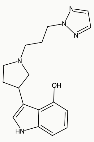 Oc1cccc2[nH]cc(C3CCN(CCCn4nccn4)C3)c12